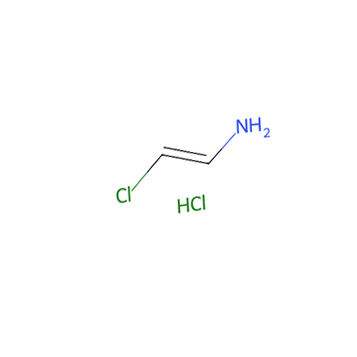 Cl.N/C=C/Cl